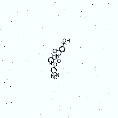 CC(C)(O)c1ccc(CNC(=O)c2cccnc2Oc2ccc3nonc3c2)c(Cl)c1